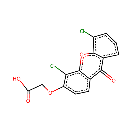 O=C(O)COc1ccc2c(=O)c3cccc(Cl)c3oc2c1Cl